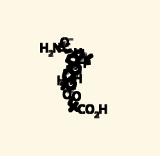 C=C(C)[C@@H]1CC[C@]2(CC[S+](N)[O-])CC[C@]3(C)[C@H](CC[C@@H]4[C@@]5(C)CC[C@H](OC(=O)CC(C)(C)CC(=O)O)C(C)(C)[C@@H]5CC[C@]43C)[C@@H]12